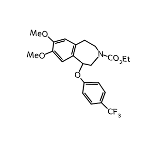 CCOC(=O)N1CCc2cc(OC)c(OC)cc2C(Oc2ccc(C(F)(F)F)cc2)C1